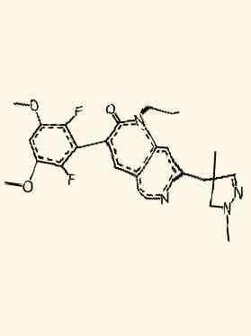 CCn1c(=O)c(-c2c(F)c(OC)cc(OC)c2F)cc2cnc(C3(C)C=NN(C)C3)cc21